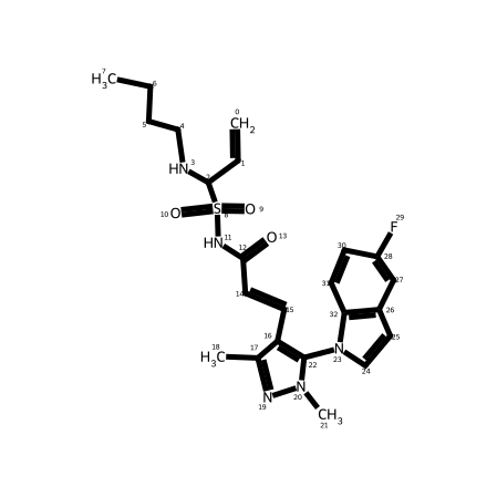 C=CC(NCCCC)S(=O)(=O)NC(=O)/C=C/c1c(C)nn(C)c1-n1ccc2cc(F)ccc21